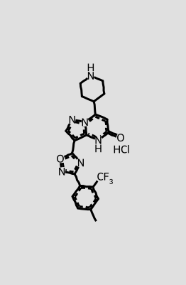 Cc1ccc(-c2noc(-c3cnn4c(C5CCNCC5)cc(=O)[nH]c34)n2)c(C(F)(F)F)c1.Cl